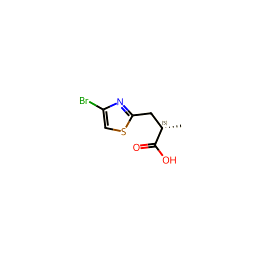 C[C@@H](Cc1nc(Br)cs1)C(=O)O